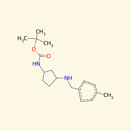 Cc1ccc(CNC2CCC(NC(=O)OC(C)(C)C)C2)cc1